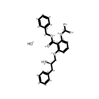 Cl.N[C@@H](COc1cccc(OC(F)F)c1C(=O)OCc1ccccc1)Cc1ccccc1